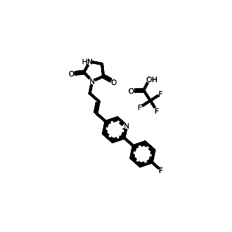 O=C(O)C(F)(F)F.O=C1CNC(=O)N1C/C=C/c1ccc(-c2ccc(F)cc2)nc1